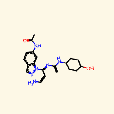 C=C(/N=C(\C=C/N)n1ncc2ccc(NC(C)=O)cc21)NC1CCC(O)CC1